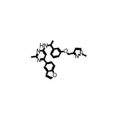 Cc1nc(NC(C)c2cccc(OCc3ccn(C)n3)c2)cc(-c2ccc3occc3c2)n1